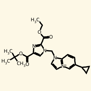 CCOC(=O)c1nc(C(=O)OC(C)(C)C)cn1Cn1cc[n+]2cc(C3CC3)ccc12